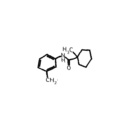 [CH2]c1cccc(NC(=O)C2(C)CCCCC2)c1